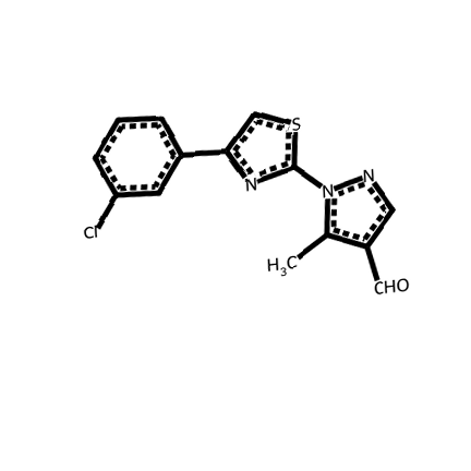 Cc1c(C=O)cnn1-c1nc(-c2cccc(Cl)c2)cs1